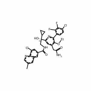 CCOc1c(CC(N)=O)cc([C@@](O)(CNC(=O)c2cc(Cl)c3ncc(C)cc3c2)C2CC2)nc1-c1ccc(Cl)c(F)c1F